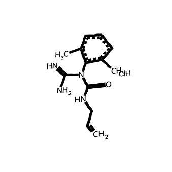 C=CCNC(=O)N(C(=N)N)c1c(C)cccc1C.Cl